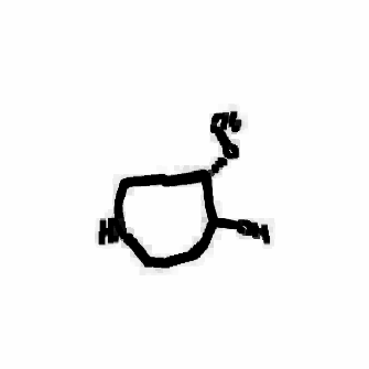 CO[C@H]1CCNCCC1O